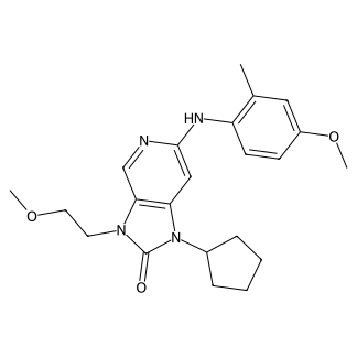 COCCn1c(=O)n(C2CCCC2)c2cc(Nc3ccc(OC)cc3C)ncc21